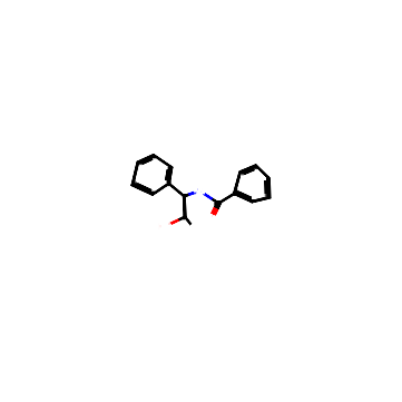 Cl.O=C(NC(c1ccccc1)C(O)C(=O)O)c1ccccc1